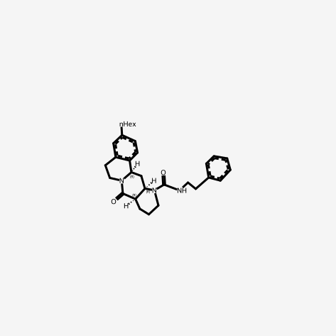 CCCCCCc1ccc2c(c1)CCN1C(=O)[C@@H]3CCCN(C(=O)NCCc4ccccc4)[C@@H]3C[C@H]21